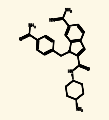 N=C(N)c1ccc2cc(C(=O)N[C@H]3CC[C@H](N)CC3)n(Cc3ccc(C(N)=O)cc3)c2c1